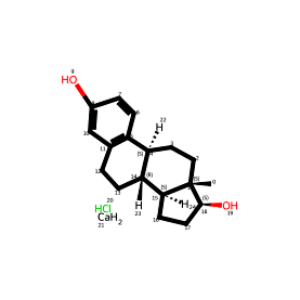 C[C@]12CC[C@@H]3c4ccc(O)cc4CC[C@H]3[C@@H]1CC[C@@H]2O.Cl.[CaH2]